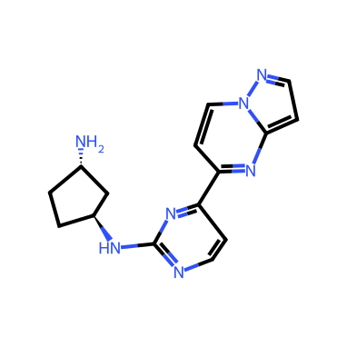 N[C@H]1CC[C@H](Nc2nccc(-c3ccn4nccc4n3)n2)C1